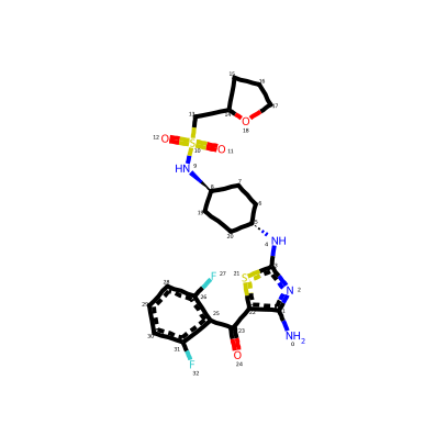 Nc1nc(N[C@H]2CC[C@H](NS(=O)(=O)CC3CCCO3)CC2)sc1C(=O)c1c(F)cccc1F